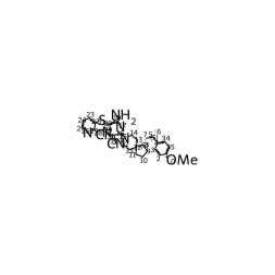 COc1ccc([C@@H](C)C[C@@H]2CCCC23CCN(c2nc(N)c(Sc4cccnc4C(F)(F)F)nc2C#N)CC3)cc1